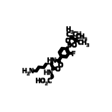 CC1(C)OB(c2ccc(C(=O)N[C@@H](CCCCN)C(=O)NCC(=O)O)cc2F)OC1(C)C